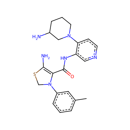 Cc1cccc(N2CSC(N)=C2C(=O)Nc2cnccc2N2CCCC(N)C2)c1